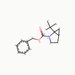 CC(C)(C)C12CC1CCN2C(=O)OCc1ccccc1